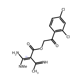 CN/C(N)=C(\C(C)=N)C(=O)OCC(=O)c1ccc(Cl)cc1Cl